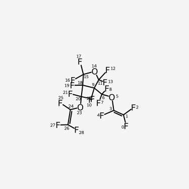 FC(F)=C(F)OC(F)(F)C1(F)C(F)(F)OC(F)(F)C1(F)C(F)(F)OC(F)=C(F)F